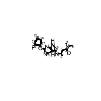 CC(CC(=O)N(C)C)Nc1n[nH]c2nc(Oc3ccc(F)cc3F)ncc12